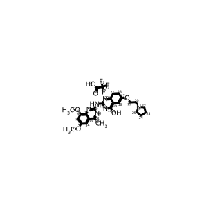 COc1cc(OC)c2nc(Nc3nc(O)c4cc(OCCN5CCCC5)ccc4n3)nc(C)c2c1.O=C(O)C(F)(F)F